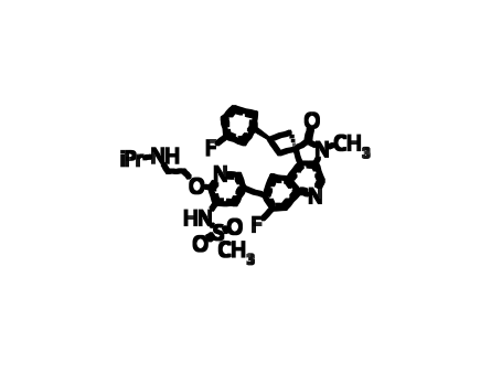 CC(C)NCCOc1ncc(-c2cc3c(cc2F)ncc2c3[C@]3(C[C@H](c4cccc(F)c4)C3)C(=O)N2C)cc1NS(C)(=O)=O